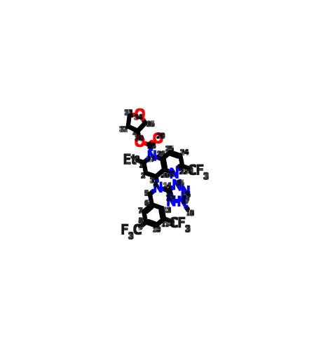 CCC1CC(N(Cc2cc(C(F)(F)F)cc(C(F)(F)F)c2)c2nnn(C)n2)c2nc(C(F)(F)F)ccc2N1C(=O)OC1CCOC1